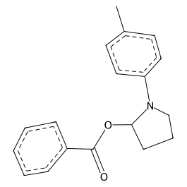 Cc1ccc(N2CCCC2OC(=O)c2ccccc2)cc1